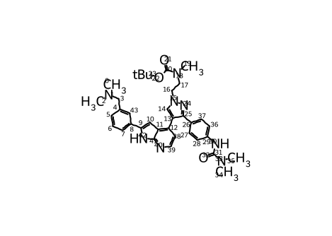 CN(C)Cc1cccc(-c2cc3c(-c4cn(CCN(C)C(=O)OC(C)(C)C)nc4-c4ccc(NC(=O)N(C)C)cc4)ccnc3[nH]2)c1